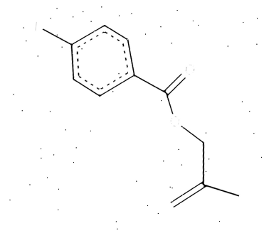 C=C(C)COC(=O)c1ccc(F)cc1